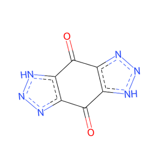 O=C1c2nn[nH]c2C(=O)c2nn[nH]c21